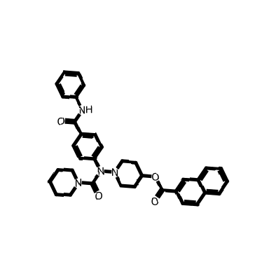 O=C(Nc1ccccc1)c1ccc(N(C(=O)N2CCCCC2)N2CCC(OC(=O)c3ccc4ccccc4c3)CC2)cc1